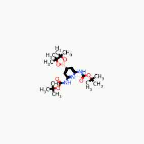 CC(C)(C)OC(=O)Nc1cc(B2OC(C)(C)C(C)(C)O2)cc(NC(=O)OC(C)(C)C)n1